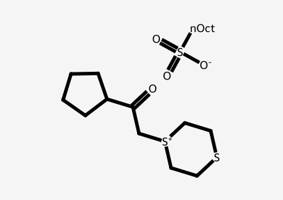 CCCCCCCCS(=O)(=O)[O-].O=C(C[S+]1CCSCC1)C1CCCC1